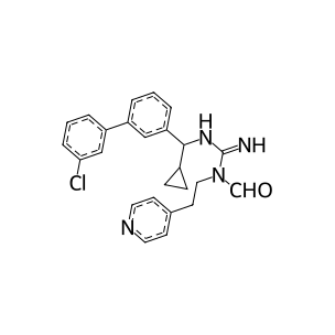 N=C(NC(c1cccc(-c2cccc(Cl)c2)c1)C1CC1)N(C=O)CCc1ccncc1